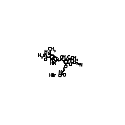 Br.CCOc1cc2c(nc1C(=O)NC)C(=N)N(CC(=O)c1cc(OCCCC(=O)O)c(OCCCC#N)c(C(C)(C)C)c1)C2